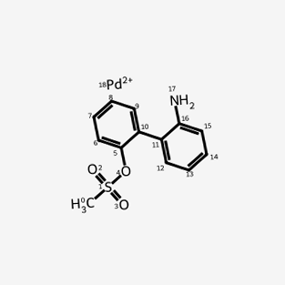 CS(=O)(=O)Oc1ccccc1-c1ccccc1N.[Pd+2]